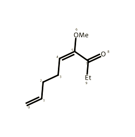 C=CCCC=C(OC)C(=O)CC